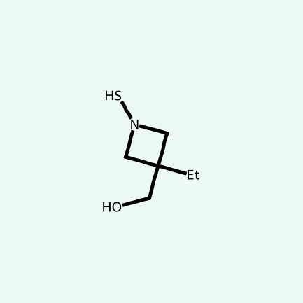 CCC1(CO)CN(S)C1